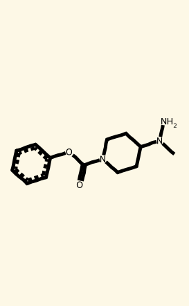 CN(N)C1CCN(C(=O)Oc2ccccc2)CC1